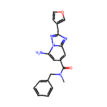 CN(Cc1ccccc1)C(=O)c1cc(N)n2nc(-c3ccoc3)nc2c1